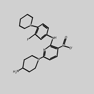 NC1CCN(c2ccc([N+](=O)[O-])c(Nc3ccc(N4CCCCC4)c(F)c3)n2)CC1